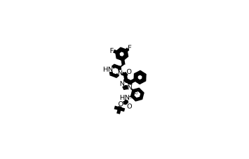 CC(C)(C)OC(=O)N[C@H]1CCCC[C@@H]1n1cnc(C(=O)N2CCNC[C@H]2Cc2cc(F)cc(F)c2)c1-c1ccccc1